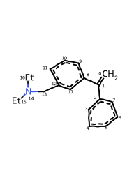 C=C(c1ccccc1)c1cccc(CN(CC)CC)c1